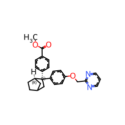 COC(=O)c1ccc([C@]2(c3ccc(OCc4ncccn4)cc3)CC3CC[C@@H]2C3)cc1